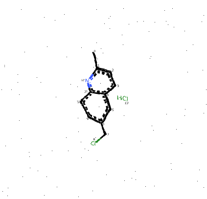 Cc1ccc2cc(CCl)ccc2n1.Cl